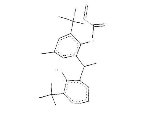 C=CC(=O)Oc1c(C(C)c2cccc(C(C)(C)C)c2O)cc(C)cc1C(C)(C)C